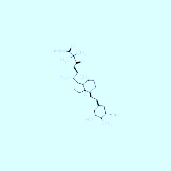 CCCCCCC(=O)C(C)(C)C(=O)/C=C/[C@@H](C)[C@H]1CC[C@H]2/C(=C/C=C3C[C@@H](O)C(C)[C@H](O)C3)CCC[C@]12C